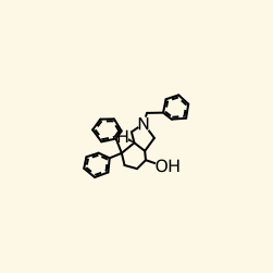 OC1CCC(c2ccccc2)(c2ccccc2)[C@@H]2CN(Cc3ccccc3)CC12